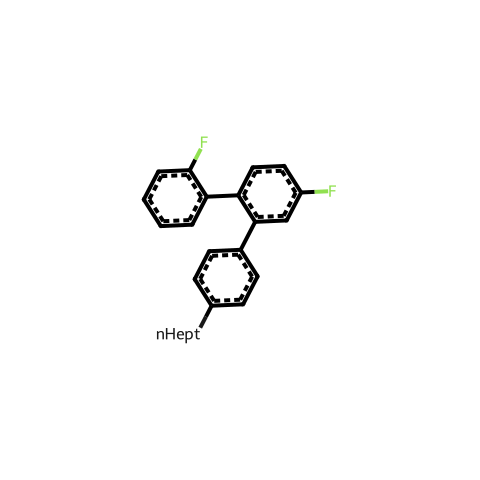 CCCCCCCc1ccc(-c2cc(F)ccc2-c2ccccc2F)cc1